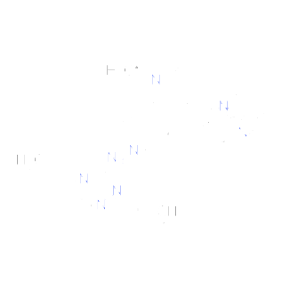 C=CCn1cn[n+](CC=C)c1/N=N/c1ccc(N(CC)CCC[N+]23CCN(CC2)CC3)cc1